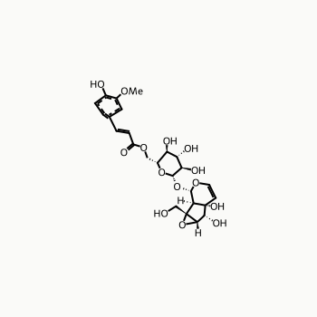 COc1cc(/C=C/C(=O)OC[C@H]2O[C@@H](O[C@@H]3OC=C[C@@]4(O)[C@H](O)[C@@H]5O[C@]5(CO)[C@@H]34)[C@H](O)[C@@H](O)[C@@H]2O)ccc1O